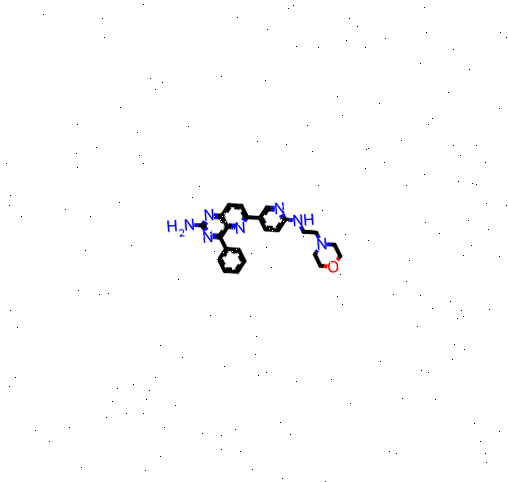 Nc1nc(-c2ccccc2)c2nc(-c3ccc(NCCN4CCOCC4)nc3)ccc2n1